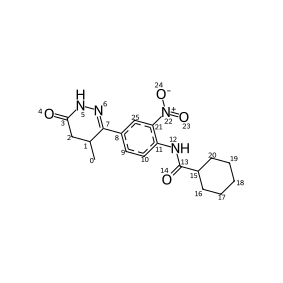 CC1CC(=O)NN=C1c1ccc(NC(=O)C2CCCCC2)c([N+](=O)[O-])c1